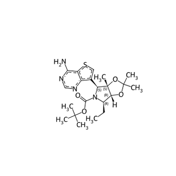 CC[C@@H]1[C@H]2OC(C)(C)O[C@@]2(C)[C@H](c2csc3c(N)ncnc23)N1C(=O)OC(C)(C)C